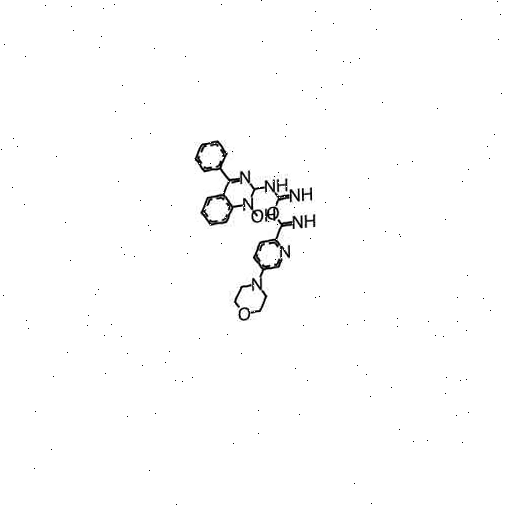 N=C(NC1N=C(c2ccccc2)c2ccccc2N1O)OC(=N)c1ccc(N2CCOCC2)cn1